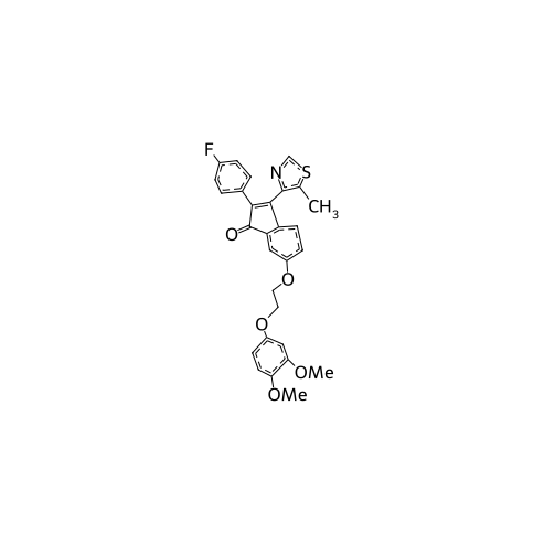 COc1ccc(OCCOc2ccc3c(c2)C(=O)C(c2ccc(F)cc2)=C3c2ncsc2C)cc1OC